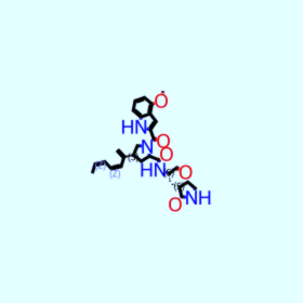 C=C(/C=C\C=C/C)[C@@H]1CC(C(=O)N[C@H](C=O)C[C@@H]2CCNC2=O)N(C(=O)c2cc3c(OC)cccc3[nH]2)C1